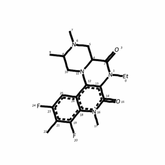 CCN1C(=O)C2CN(C)C(C)CN2c2c1c(=O)n(C)c1c(F)c(C)c(F)cc21